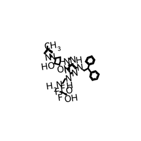 Cc1cnn([C@H]2C[C@@H](n3cnc4c(NCC(c5ccccc5)c5ccccc5)nc(NCCN)nc43)[C@H](O)[C@@H]2O)c1.O=C(O)C(F)(F)F